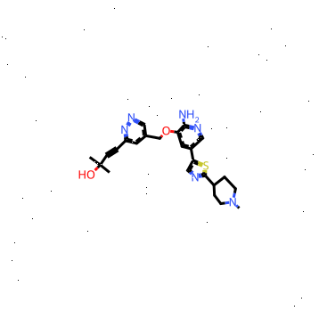 CN1CCC(c2ncc(-c3cnc(N)c(OCc4cnnc(C#CC(C)(C)O)c4)c3)s2)CC1